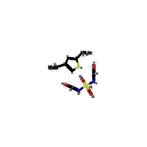 CCOC(=O)c1cc(OC)cs1.O=C=NS(=O)(=O)N=C=O